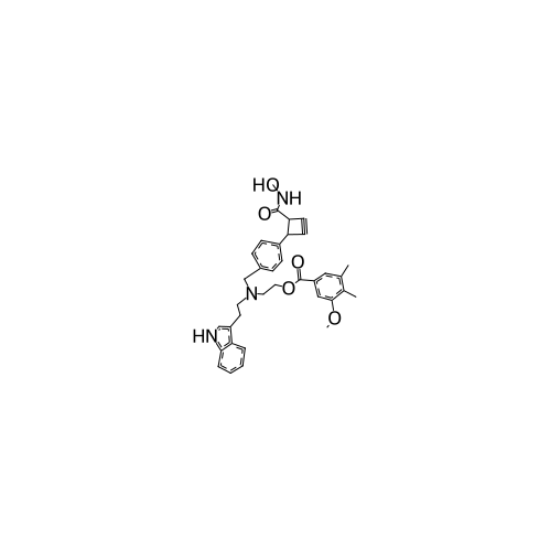 COc1cc(C(=O)OCCN(CCc2c[nH]c3ccccc23)Cc2ccc(C3C#CC3C(=O)NO)cc2)cc(C)c1C